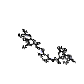 C/C(C/C(C)=N/OC(=O)N(C)SN(C)C(=O)O/N=C(\C)S)=N/OC(=O)N(C)SN(C)C(=O)O/N=C(\C)S